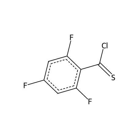 Fc1cc(F)c(C(=S)Cl)c(F)c1